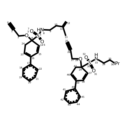 C#CCOC1(S(=O)(=O)NCCC(=C)C)C=CC(c2ccccc2)=CC1.C#CCOC1(S(=O)(=O)NCCC(C)C)C=CC(c2ccccc2)=CC1